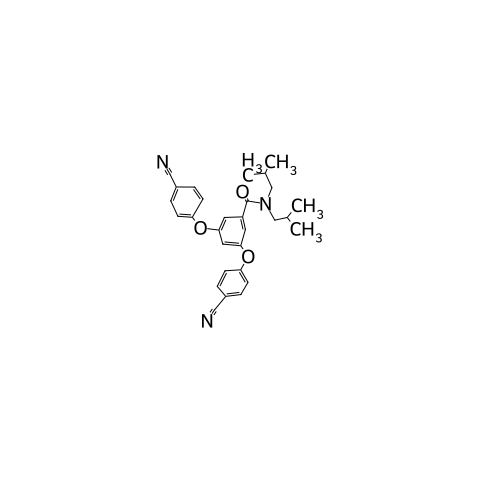 CC(C)CN(CC(C)C)C(=O)c1cc(Oc2ccc(C#N)cc2)cc(Oc2ccc(C#N)cc2)c1